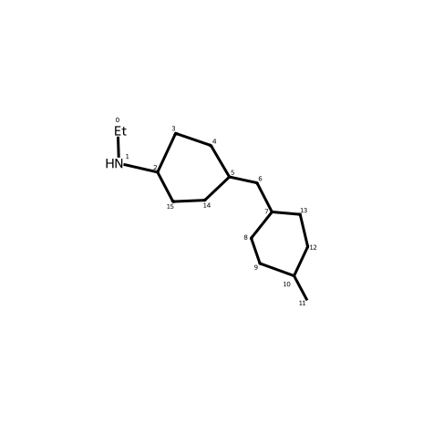 CCNC1CCC(CC2CCC(C)CC2)CC1